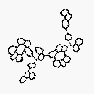 c1ccc2c(N(c3ccc(-c4ccc5c(ccc6ccccc65)c4)cc3)c3cc4ccc5cc(-c6ccc(N(c7ccc(-c8cc9ccccc9c9ccccc89)cc7)c7cc8ccc9cccc%10c%11cccc%12ccc%13cccc(c(c7)c8c9%10)c%13c%12%11)c7ccccc67)cc6c7cccc8ccc9cccc(c(c3)c4c56)c9c87)cccc2c1